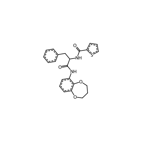 O=C(NC(Cc1ccccc1)C(=O)Nc1cccc2c1OCCCO2)c1cccs1